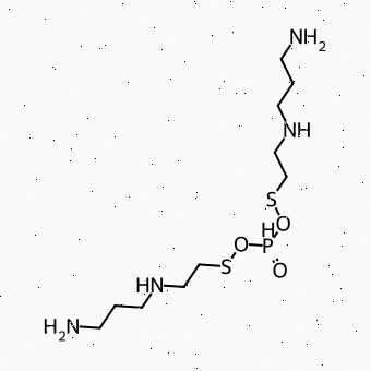 NCCCNCCSO[PH](=O)OSCCNCCCN